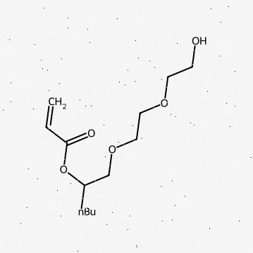 C=CC(=O)OC(CCCC)COCCOCCO